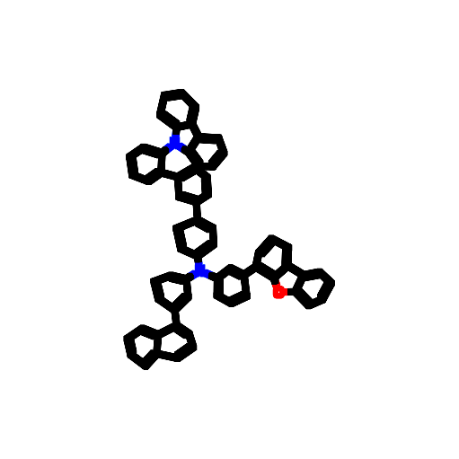 c1cc(-c2ccc(N(c3cccc(-c4cccc5ccccc45)c3)c3cccc(-c4cccc5c4oc4ccccc45)c3)cc2)cc(-c2ccccc2-n2c3ccccc3c3ccccc32)c1